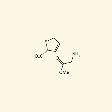 COC(=O)CN.O=C(O)C1C=CCS1